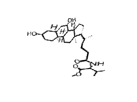 COC(=O)[C@@H](NC(=O)CC[C@@H](C)[C@H]1CC[C@H]2[C@@H]3[C@H](O)C[C@@H]4C[C@H](O)CC[C@]4(C)[C@H]3CC[C@]12C)C(C)C